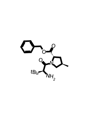 C[C@@H]1C[C@@H](C(=O)OCc2ccccc2)N(C(=O)[C@@H](N)C(C)(C)C)C1